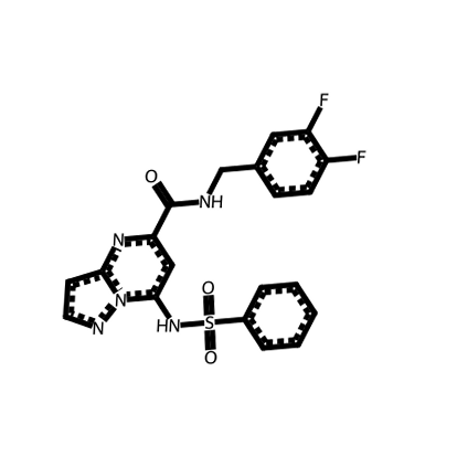 O=C(NCc1ccc(F)c(F)c1)c1cc(NS(=O)(=O)c2ccccc2)n2nccc2n1